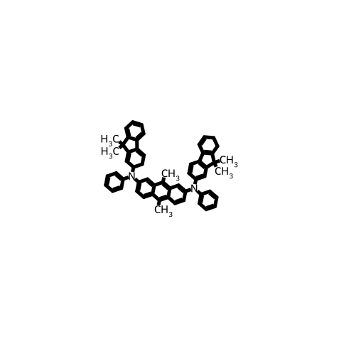 Cc1c2ccc(N(c3ccccc3)c3ccc4c(c3)C(C)(C)C3=C4C=CCC3)cc2c(C)c2cc(N(c3ccccc3)C3C=C4C(=CC3)c3ccccc3C4(C)C)ccc12